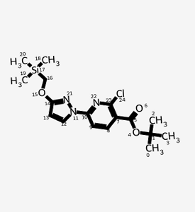 CC(C)(C)OC(=O)c1ccc(-n2ccc(OC[Si](C)(C)C)n2)nc1Cl